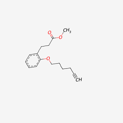 C#CCCCCOc1ccccc1CCC(=O)OC